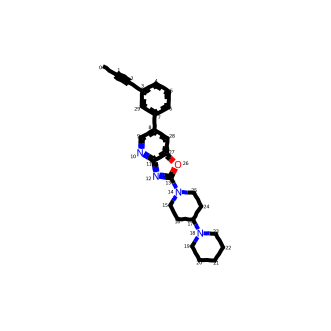 CC#Cc1cccc(-c2cnc3nc(N4CCC(N5CCCCC5)CC4)oc3c2)c1